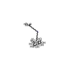 CCCNC(=O)CCCCCCC/C=C\CCCCCCC(C)OC1OC(CO)C(O)C(O)C1OC1OC(CO)C(O)C(O)C1O